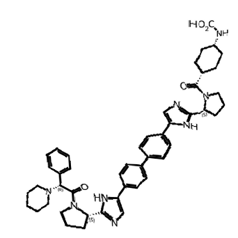 O=C(O)N[C@H]1CC[C@@H](C(=O)N2CCC[C@H]2c2ncc(-c3ccc(-c4ccc(-c5cnc([C@@H]6CCCN6C(=O)[C@@H](c6ccccc6)N6CCCCC6)[nH]5)cc4)cc3)[nH]2)CC1